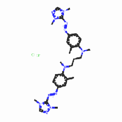 Cc1cc(/N=N/c2n(C)nc[n+]2C)ccc1N(C)CCCN(C)c1ccc(/N=N/c2n(C)nc[n+]2C)cc1C.[Cl-].[Cl-]